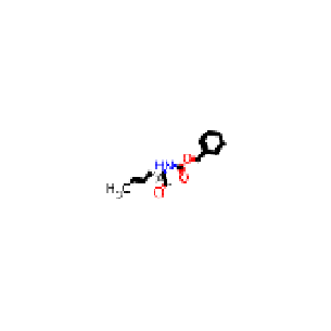 CCCC[C@@H]([C]=O)NC(=O)OCc1ccccc1